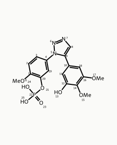 COc1ccc(-n2nncc2-c2cc(O)c(OC)c(OC)c2)cc1OP(=O)(O)O